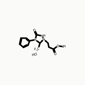 CC(C)OC(=O)CCN1NC(=O)N(c2ccccc2)C1C(F)(F)F.Cl